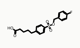 O=C(O)CCCCc1ccc(S(=O)(=O)OCc2ccc(F)cc2)cc1